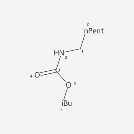 CCCCCCNC(=O)OC(C)CC